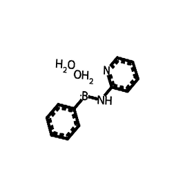 O.O.[B](Nc1ccccn1)c1ccccc1